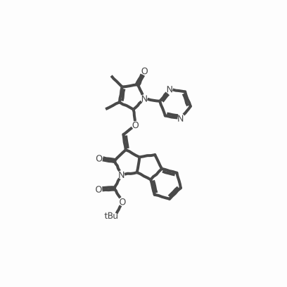 CC1=C(C)C(O/C=C2/C(=O)N(C(=O)OC(C)(C)C)C3c4ccccc4CC23)N(c2cnccn2)C1=O